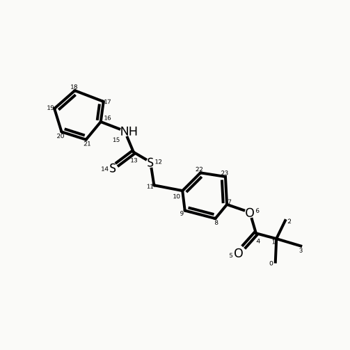 CC(C)(C)C(=O)Oc1ccc(CSC(=S)Nc2ccccc2)cc1